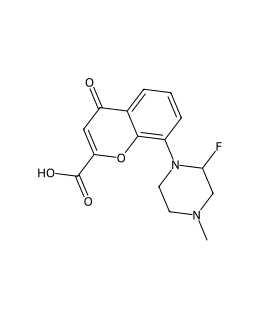 CN1CCN(c2cccc3c(=O)cc(C(=O)O)oc23)C(F)C1